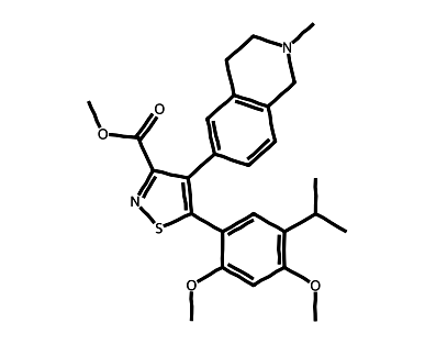 COC(=O)c1nsc(-c2cc(C(C)C)c(OC)cc2OC)c1-c1ccc2c(c1)CCN(C)C2